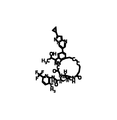 Cc1ccc(C(F)(F)F)nc1NC(=O)[C@@H]1C[C@]23CNC(=O)CCCCCCc4cc(-c5cnc6cc(C7CC7)nn6c5)cc5c(C(C)O)nn(c45)CC(=O)N1[C@@H]2C3